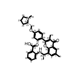 Cc1cc([C@@H](C)Nc2ccccc2C(=O)O)c2oc(-c3ccc(OC[C@@H]4CCCN4C)cc3)c(C)c(=O)c2c1